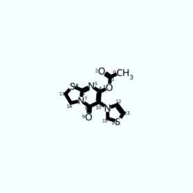 CC(=O)Oc1nc2n(c(=O)c1N1C=CSC1)CCS2